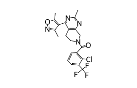 Cc1nc2c(c(-c3c(C)noc3C)n1)CCN(C(=O)c1cccc(C(F)(F)F)c1Cl)C2